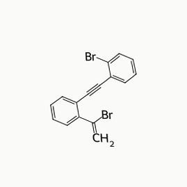 C=C(Br)c1ccccc1C#Cc1ccccc1Br